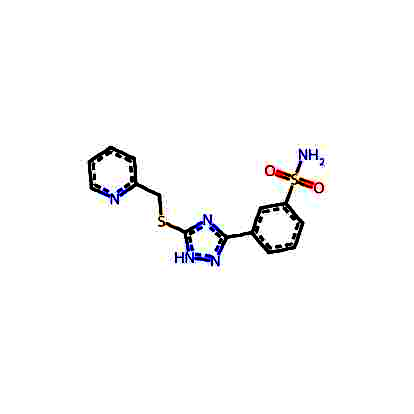 NS(=O)(=O)c1cccc(-c2n[nH]c(SCc3ccccn3)n2)c1